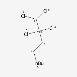 CCCCCCC(Cl)(Cl)C(Cl)Cl